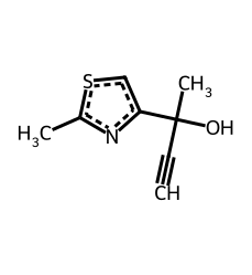 C#CC(C)(O)c1csc(C)n1